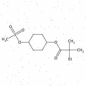 CCC(C)(C)C(=O)OC1CCC(OS(C)(=O)=O)CC1